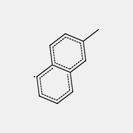 Cc1ccc2[c]cccc2c1